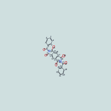 O=C(c1ccccc1)n1c(=O)c2cc3c(=O)n(C(=O)c4ccccc4)c(=O)c3cc2c1=O